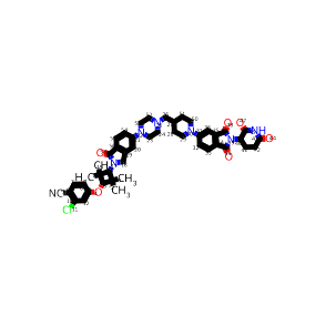 CC1(C)C(Oc2ccc(C#N)c(Cl)c2)C(C)(C)C1N1Cc2cc(N3CCN(CC4CCN(c5ccc6c(c5)C(=O)N(C5CCC(=O)NC5=O)C6=O)CC4)CC3)ccc2C1=O